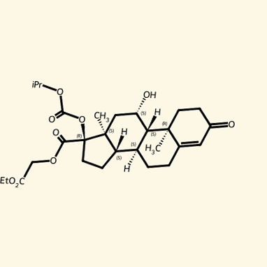 CCOC(=O)COC(=O)[C@@]1(OC(=O)OC(C)C)CC[C@H]2[C@@H]3CCC4=CC(=O)CC[C@]4(C)[C@H]3[C@@H](O)C[C@@]21C